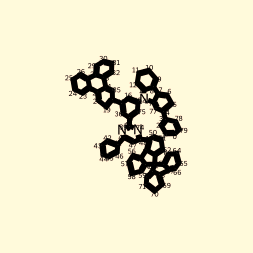 c1ccc(-c2ccc3c4ccccc4n(-c4cc(-c5ccc6c7ccccc7c7ccccc7c6c5)cc(-c5nc(-c6ccccc6)cc(-c6cccc7c6-c6ccccc6C76c7ccccc7-c7ccccc76)n5)c4)c3c2)cc1